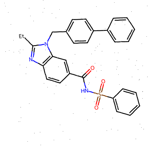 CCc1nc2ccc(C(=O)NS(=O)(=O)c3ccccc3)cc2n1Cc1ccc(-c2ccccc2)cc1